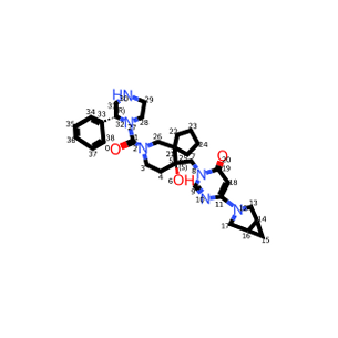 O=C(N1CC[C@@](O)(Cn2cnc(N3CC4CC4C3)cc2=O)C2(CCCC2)C1)N1CCNC[C@H]1c1ccccc1